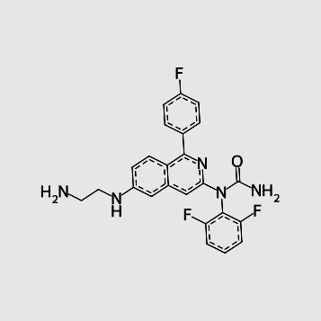 NCCNc1ccc2c(-c3ccc(F)cc3)nc(N(C(N)=O)c3c(F)cccc3F)cc2c1